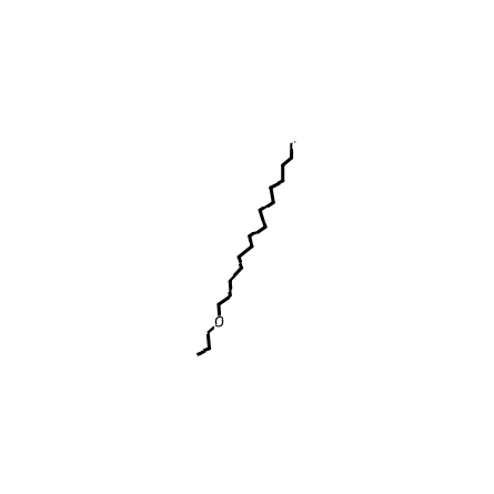 [CH2]CCCCCCCCCCCCCCOCCC